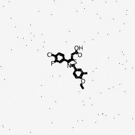 CCOc1ccc(-c2nc(-c3ccc(Cl)c(F)c3)c(CC(=O)O)s2)cc1C